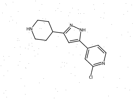 Clc1cc(-c2cc(C3CCNCC3)n[nH]2)ccn1